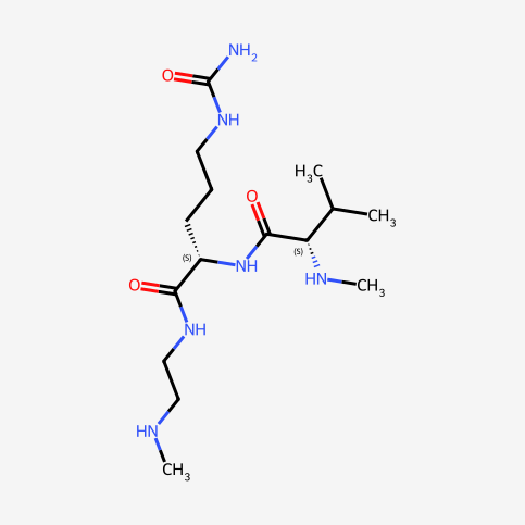 CNCCNC(=O)[C@H](CCCNC(N)=O)NC(=O)[C@@H](NC)C(C)C